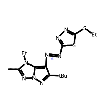 CCSc1nnc(/N=N/c2c(C(C)(C)C)nn3nc(C)n(CC)c23)s1